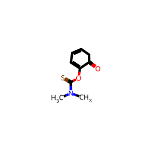 CN(C)C(=S)OC1=CC=CCC1=O